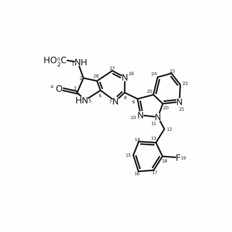 O=C(O)NC1C(=O)Nc2nc(-c3nn(Cc4ccccc4F)c4ncccc34)ncc21